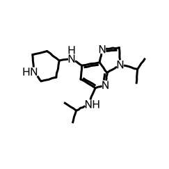 CC(C)Nc1cc(NC2CCNCC2)c2ncn(C(C)C)c2n1